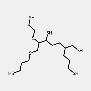 SCCCSCC(SCCS)C(S)SCC(CS)SCCS